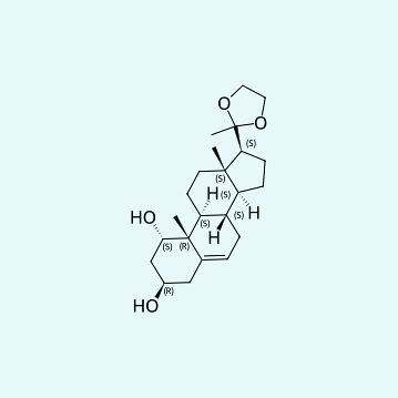 CC1([C@H]2CC[C@H]3[C@@H]4CC=C5C[C@@H](O)C[C@H](O)[C@]5(C)[C@H]4CC[C@]23C)OCCO1